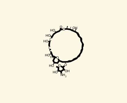 CC1OC(O[C@H]2/C=C/C=C/C=C/C=C/C=C/C=C/C=C/[C@H](C)[C@@H](O)[C@@H](C)[C@H](C)OC(=O)C[C@H](O)C[C@H](O)C[C@H](O)CCC[C@H](O)C[C@]3(O)C[C@H](O)[C@@H](C)C(C2)O3)C(O)C(N)C1O